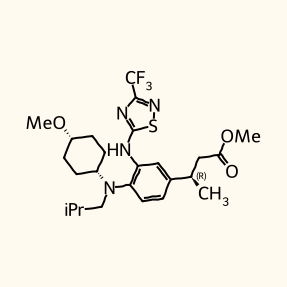 COC(=O)C[C@@H](C)c1ccc(N(CC(C)C)[C@H]2CC[C@@H](OC)CC2)c(Nc2nc(C(F)(F)F)ns2)c1